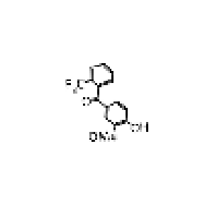 COc1cc(C(=O)c2ccccc2C(F)(F)F)ccc1O